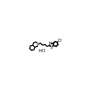 Cl.Clc1ccc2sc(CCCCN3CCC4CCCCC4C3)nc2c1